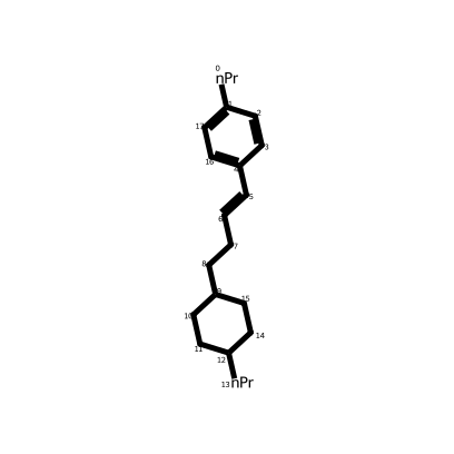 CCCc1ccc(C=CCCC2CCC(CCC)CC2)cc1